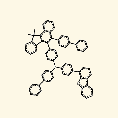 CC1(C)c2ccccc2-c2c(-c3ccc(N(c4ccc(-c5ccccc5)cc4)c4ccc(-c5cccc6c5sc5ccccc56)cc4)cc3)c(-c3ccc(-c4ccccc4)cc3)c3ccccc3c21